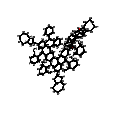 Fc1cccc(F)c1N1c2cc3c(cc2B2c4ccccc4N(c4ccccc4)c4cc(C5CC6CCCCCC6C5)cc1c42)B1c2cc4c(cc2N(c2c(F)cccc2F)c2cc(C5CC6CCCCCC6C5)cc(c21)N3c1c(F)cccc1F)N(c1c(F)cccc1F)c1cc(C2CC3CCCCCC3C2)cc2c1B4c1ccccc1N2c1ccccc1